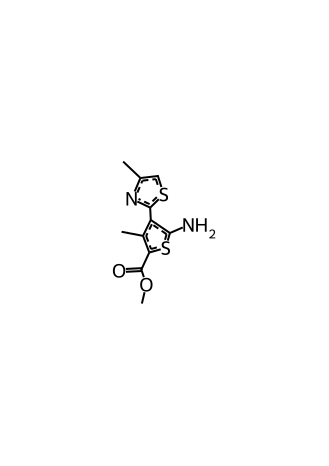 COC(=O)c1sc(N)c(-c2nc(C)cs2)c1C